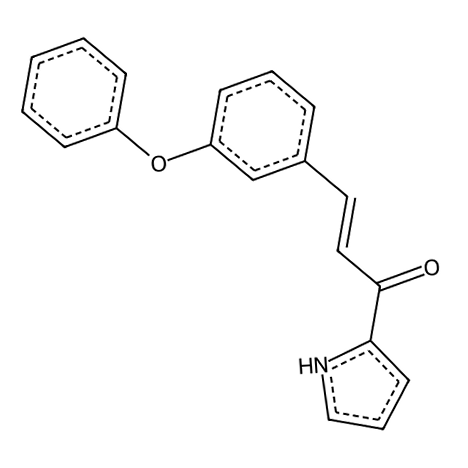 O=C(/C=C/c1cccc(Oc2ccccc2)c1)c1ccc[nH]1